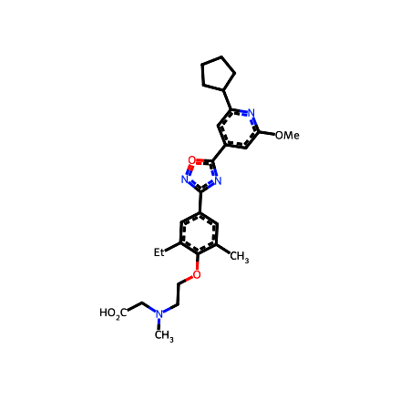 CCc1cc(-c2noc(-c3cc(OC)nc(C4CCCC4)c3)n2)cc(C)c1OCCN(C)CC(=O)O